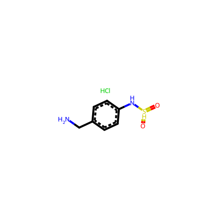 Cl.NCc1ccc(N[SH](=O)=O)cc1